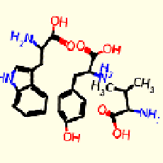 CC(C)C(N)C(=O)O.NC(Cc1c[nH]c2ccccc12)C(=O)O.NC(Cc1ccc(O)cc1)C(=O)O